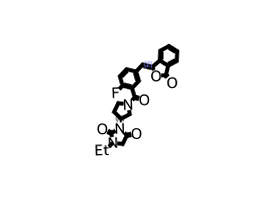 CCN1CC(=O)N([C@@H]2CCN(C(=O)c3cc(/C=C4\OC(=O)c5ccccc54)ccc3F)C2)C1=O